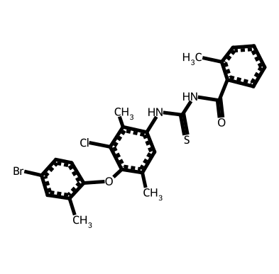 Cc1cc(Br)ccc1Oc1c(C)cc(NC(=S)NC(=O)c2ccccc2C)c(C)c1Cl